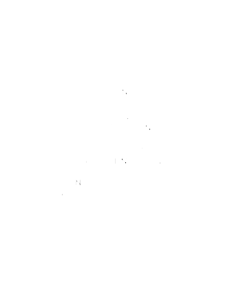 O=C(Nc1ccccc1[N+](=O)[O-])n1cccnc1=O